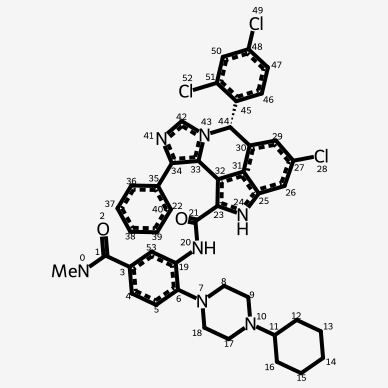 CNC(=O)c1ccc(N2CCN(C3CCCCC3)CC2)c(NC(=O)c2[nH]c3cc(Cl)cc4c3c2-c2c(-c3ccccc3)ncn2[C@@H]4c2ccc(Cl)cc2Cl)c1